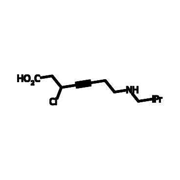 CC(C)CNCCC#CC(Cl)CC(=O)O